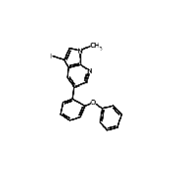 Cn1cc(I)c2cc(-c3ccccc3Oc3ccccc3)cnc21